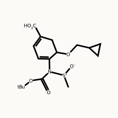 C[S+]([O-])N(C(=O)OC(C)(C)C)C1=CC=C(C(=O)O)CC1OCC1CC1